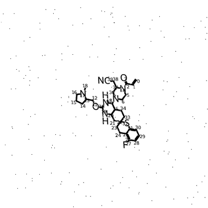 C=CC(=O)N1CCN(C2NC(OCC3CCCN3C)NC3C[C@@]4(CCc5c(F)cccc5S4)CCC32)CC1CC#N